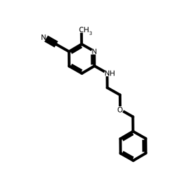 Cc1nc(NCCOCc2ccccc2)ccc1C#N